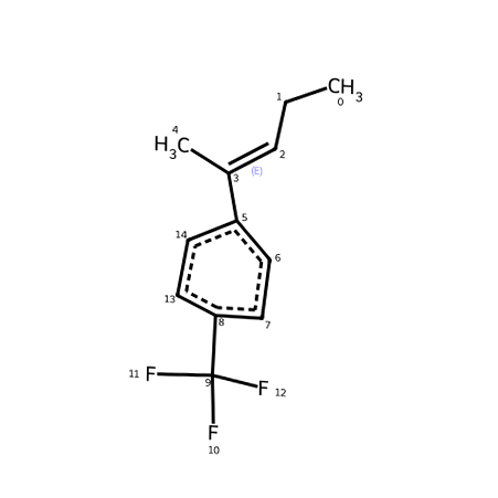 CC/C=C(\C)c1ccc(C(F)(F)F)cc1